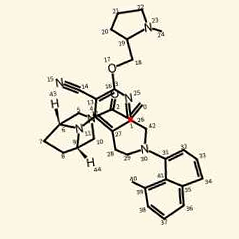 C=CC(=O)N1C[C@H]2CC[C@@H](C1)N2c1c(C#N)c(OCC2CCCN2C)nc2c1CCN(c1cccc3cccc(C)c13)C2